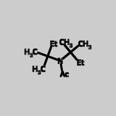 CCC(C)(C)N(C(C)=O)C(C)(C)CC